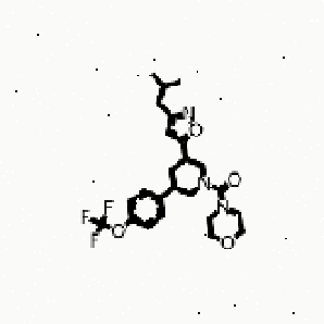 CC(C)Cc1cc(C2CC(c3ccc(OC(F)(F)F)cc3)CN(C(=O)N3CCOCC3)C2)on1